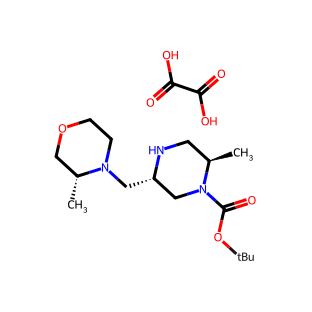 C[C@@H]1COCCN1C[C@H]1CN(C(=O)OC(C)(C)C)[C@H](C)CN1.O=C(O)C(=O)O